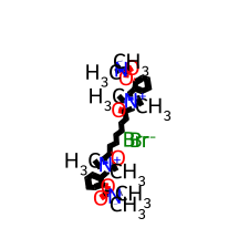 CC[N+](CC)(CC(=O)CCCCCCC(=O)C[N+](CC)(CC)Cc1ccccc1OC(=O)N(C)C)Cc1ccccc1OC(=O)N(C)C.[Br-].[Br-]